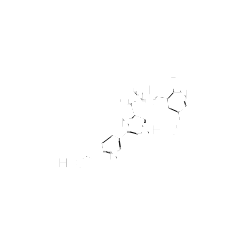 CCOc1ccc(-c2cncc(C(=O)N(C)OCc3cc(OC)cnc3F)n2)cn1